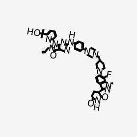 C=CCn1c(=O)c2cnc(Nc3ccc(N4CCN(CC5CCN(c6ccc7c(C8CCC(=O)NC8=O)nn(C)c7c6F)CC5)CC4)cc3)nc2n1-c1cccc(C(C)(C)O)n1